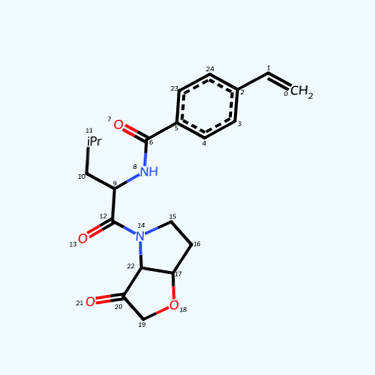 C=Cc1ccc(C(=O)NC(CC(C)C)C(=O)N2CCC3OCC(=O)C32)cc1